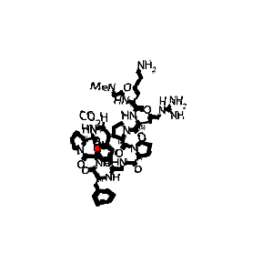 CNCC(=O)N[C@@H](CCCCN)C(=O)N[C@@H](CCCNC(=N)N)C(=O)N1CCC[C@H]1C(=O)N1CCC[C@H]1C(=O)NCC(=O)N[C@@H](Cc1ccccc1)C(=O)N[C@@H](CO)C(=O)N1CCC[C@H]1C(=O)N[C@H](Cc1ccccc1)C(=O)O